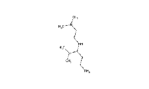 CN(C)CCNC(CCN)N(C)C